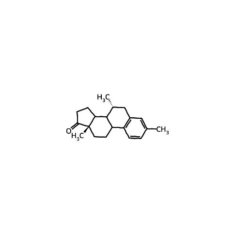 Cc1ccc2c(c1)C[C@@H](C)C1C2CC[C@]2(C)C(=O)CCC12